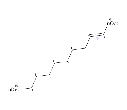 CCCCCCCC/C=C/CCCCCCCCCCCCCCCCC